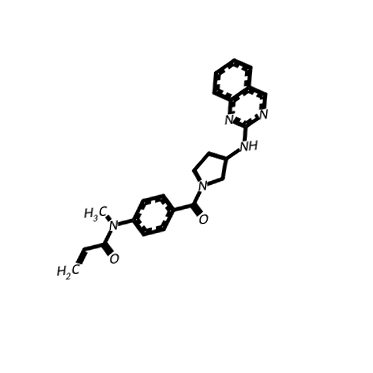 C=CC(=O)N(C)c1ccc(C(=O)N2CCC(Nc3ncc4ccccc4n3)C2)cc1